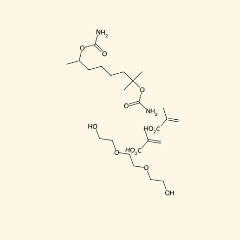 C=C(C)C(=O)O.C=C(C)C(=O)O.CC(CCCCC(C)(C)OC(N)=O)OC(N)=O.OCCOCCOCCO